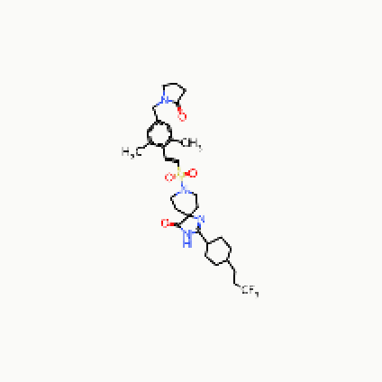 Cc1cc(CN2CCCC2=O)cc(C)c1C=CS(=O)(=O)N1CCC2(CC1)N=C(C1CCC(CCC(F)(F)F)CC1)NC2=O